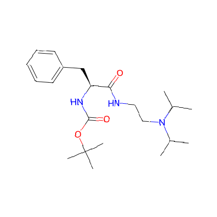 CC(C)N(CCNC(=O)[C@H](Cc1ccccc1)NC(=O)OC(C)(C)C)C(C)C